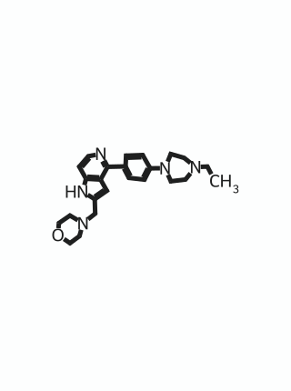 CCN1CCN(c2ccc(-c3nccc4[nH]c(CN5CCOCC5)cc34)cc2)CC1